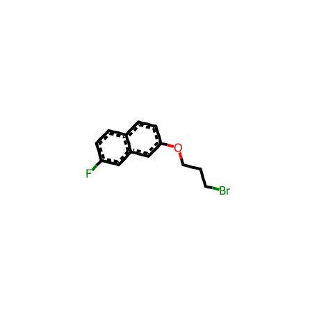 Fc1ccc2ccc(OCCCBr)cc2c1